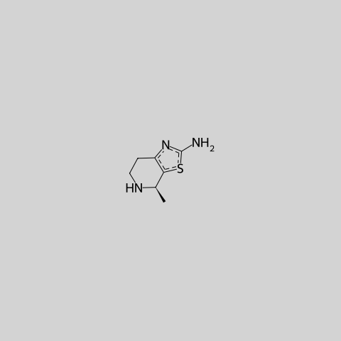 C[C@H]1NCCc2nc(N)sc21